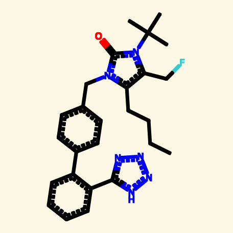 CCCCc1c(CF)n(C(C)(C)C)c(=O)n1Cc1ccc(-c2ccccc2-c2nnn[nH]2)cc1